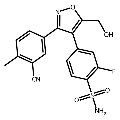 Cc1ccc(-c2noc(CO)c2-c2ccc(S(N)(=O)=O)c(F)c2)cc1C#N